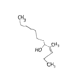 CCC=C(C)C(O)CCCCCCC